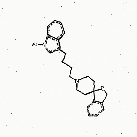 CC(=O)n1cc(CCCCN2CCC3(CC2)OCc2ccccc23)c2ccccc21